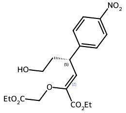 CCOC(=O)CO/C(=C\[C@H](CCO)c1ccc([N+](=O)[O-])cc1)C(=O)OCC